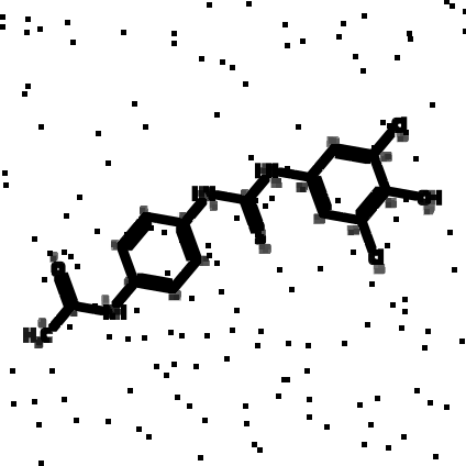 CC(=O)Nc1ccc(NC(=S)Nc2cc(Cl)c(O)c(Cl)c2)cc1